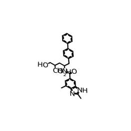 Cc1nc2c(C)cc(C(=O)NC(Cc3ccc(-c4ccccc4)cc3)CC(CO)C(=O)O)cc2[nH]1